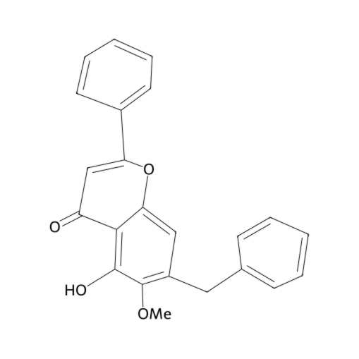 COc1c(Cc2ccccc2)cc2oc(-c3ccccc3)cc(=O)c2c1O